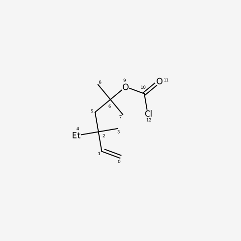 C=CC(C)(CC)CC(C)(C)OC(=O)Cl